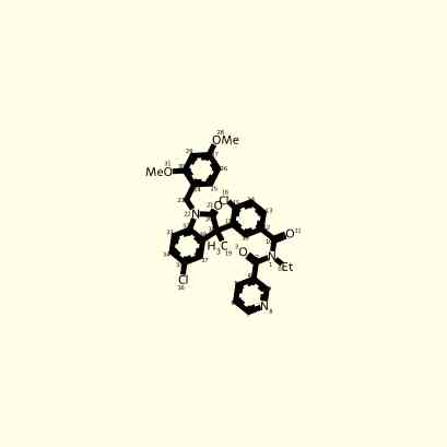 CCN(C(=O)c1cccnc1)C(=O)c1ccc(Cl)c(C2(C)C(=O)N(Cc3ccc(OC)cc3OC)c3ccc(Cl)cc32)c1